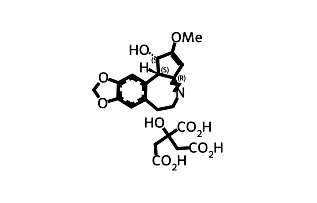 COC1=C[C@]23CCCN2CCc2cc4c(cc2[C@@H]3[C@@H]1O)OCO4.O=C(O)CC(O)(CC(=O)O)C(=O)O